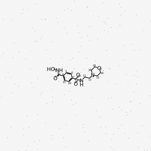 O=C(NO)c1ccc(S(=O)(=O)NCCN2CCOCC2)cc1